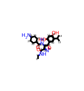 CCNC(=O)c1noc(-c2cc(C(C)C)c(O)cc2O)c1NC(=O)C1CCC(N)CC1